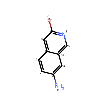 Nc1ccc2cc(Br)ncc2c1